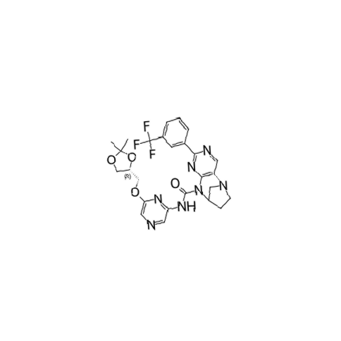 CC1(C)OC[C@@H](COc2cncc(NC(=O)N3c4nc(-c5cccc(C(F)(F)F)c5)ncc4N4CCC3C4)n2)O1